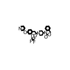 O=C(Cc1ccc(Oc2cccnc2)cc1OCC(F)(F)F)N1CCC(N2C(=O)OCc3ccccc32)CC1